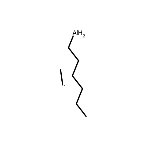 CCCCC[CH2][AlH2].[CH2]C